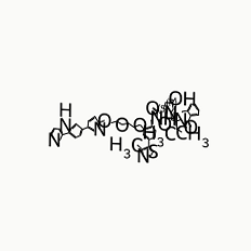 Cc1ncsc1-c1ccc(CNC(=O)[C@@H]2C[C@@H](O)CN2C(=O)C(C(C)C)N2Cc3ccccc3C2=O)c(OCCOCCOc2ccc(-c3ccc4c(c3)[nH]c3ccncc34)cn2)c1